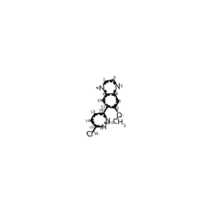 COc1cc2nccnc2cc1-c1ccc(Cl)nn1